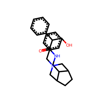 O=C(NCC1C2CCC1CN(Cc1ccccc1)C2)C(CO)c1ccccc1